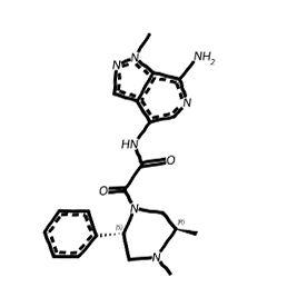 C[C@@H]1CN(C(=O)C(=O)Nc2cnc(N)c3c2cnn3C)[C@@H](c2ccccc2)CN1C